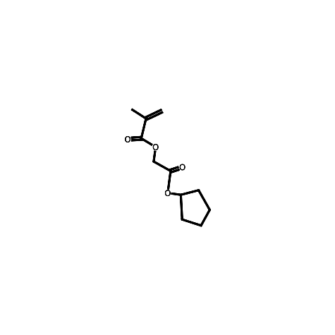 C=C(C)C(=O)OCC(=O)OC1CCCC1